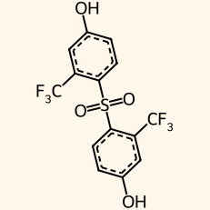 O=S(=O)(c1ccc(O)cc1C(F)(F)F)c1ccc(O)cc1C(F)(F)F